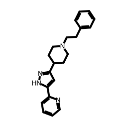 c1ccc(CCN2CCC(c3cc(-c4ccccn4)[nH]n3)CC2)cc1